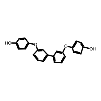 Oc1ccc(Oc2cccc(-c3cccc(Oc4ccc(O)cc4)c3)c2)cc1